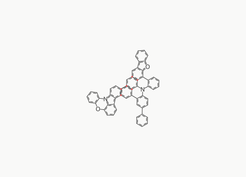 c1ccc(-c2ccc(N(c3cccc(-c4ccc5c(c4)c4cccc6c4n5-c4ccccc4O6)c3)c3ccccc3-c3cccc4c3oc3ccccc34)c(-c3ccccc3)c2)cc1